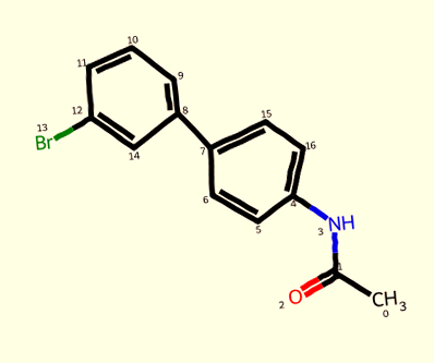 CC(=O)Nc1ccc(-c2cccc(Br)c2)cc1